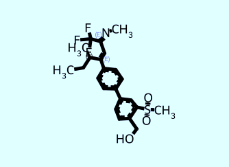 CC[C@@H](C)/C(=C\C(=N/C)C(F)(F)F)c1ccc(-c2ccc(CO)c(S(C)(=O)=O)c2)cc1